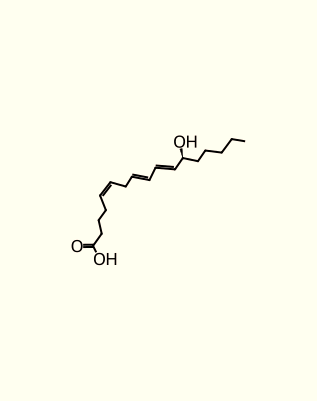 CCCCC[C@H](O)/C=C/C=C/C/C=C\CCCC(=O)O